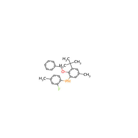 Cc1ccc(Pc2cc(C)cc(C(C)(C)C)c2OCc2ccccc2)c(F)c1